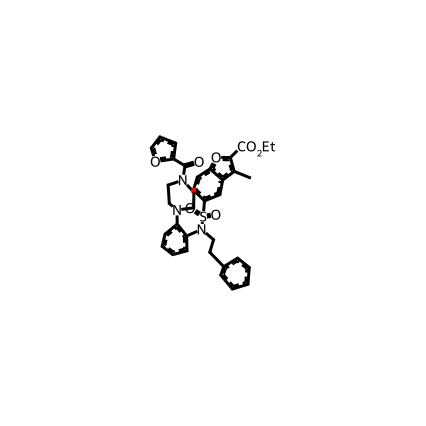 CCOC(=O)c1oc2ccc(S(=O)(=O)N(CCc3ccccc3)c3ccccc3N3CCN(C(=O)c4ccco4)CC3)cc2c1C